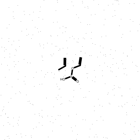 C=CC.C=COS(=O)O